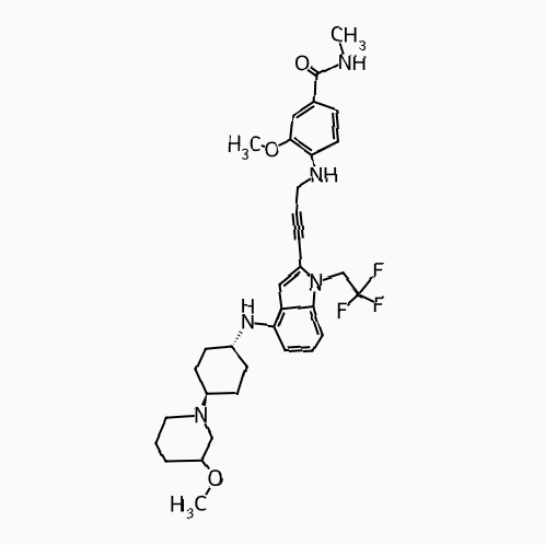 CNC(=O)c1ccc(NCC#Cc2cc3c(N[C@H]4CC[C@H](N5CCCC(OC)C5)CC4)cccc3n2CC(F)(F)F)c(OC)c1